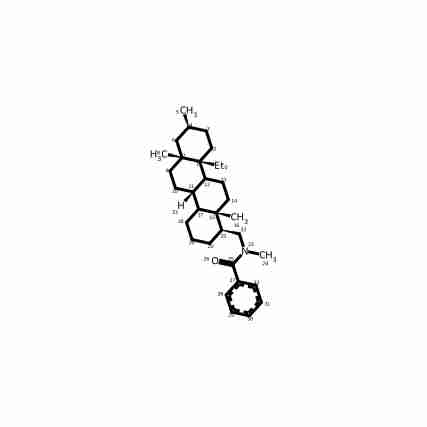 CC[C@]12CC[C@H](C)C[C@@]1(C)CC[C@@H]1C2CC[C@@]2(C)C1CCC[C@@H]2CN(C)C(=O)c1ccccc1